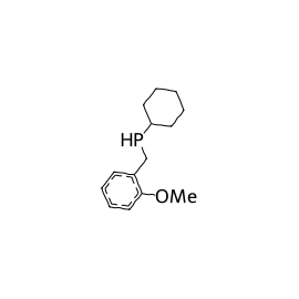 COc1ccccc1CPC1CCCCC1